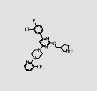 Fc1ccc(-c2cc(N3CCN(c4ncccc4C(F)(F)F)CC3)nc(OCC3CCNC3)n2)cc1Cl